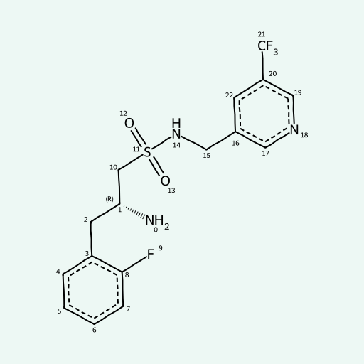 N[C@H](Cc1ccccc1F)CS(=O)(=O)NCc1cncc(C(F)(F)F)c1